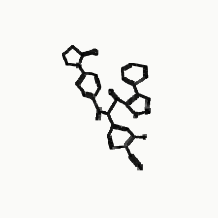 N#Cc1ccc(C(Nc2ccc(N3CCCC3=O)cc2)C(=O)c2sncc2-c2ccccc2)cc1F